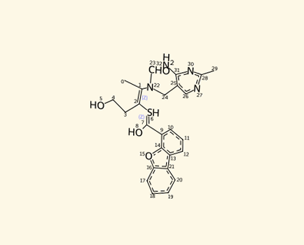 C/C(=C(CCO)/[SH]=C(\O)c1cccc2c1oc1ccccc12)N(C=O)Cc1cnc(C)nc1N